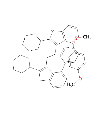 COc1ccc(-c2cccc3c2C(CCC2=C(C4CCCCC4)[CH]c4cccc(-c5ccc(OC)cc5)c42)=C(C2CCCCC2)[CH]3)cc1